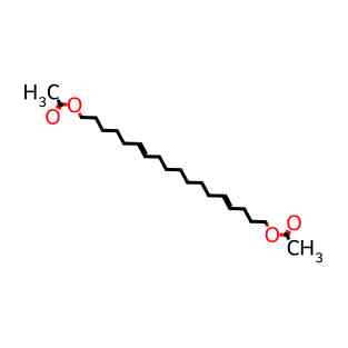 CC(=O)OCCC/C=C/CCCCCC/C=C/CCCCCOC(C)=O